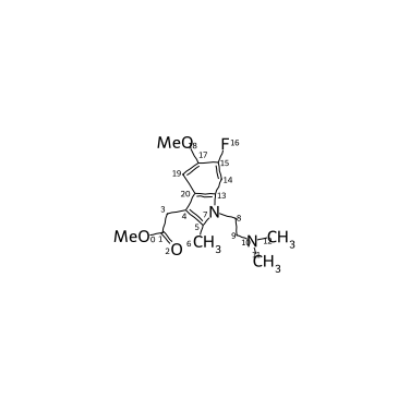 COC(=O)Cc1c(C)n(CCN(C)C)c2cc(F)c(OC)cc12